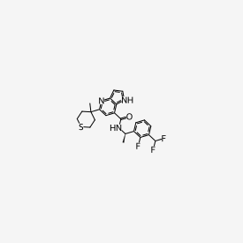 C[C@@H](NC(=O)c1cc(C2(C)CCSCC2)nc2cc[nH]c12)c1cccc(C(F)F)c1F